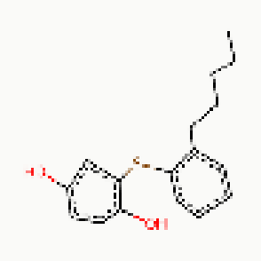 CCCCCc1ccccc1Sc1cc(O)ccc1O